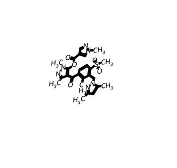 Cc1cc(C)n(Cc2c(S(C)(=O)=O)ccc(C(=O)c3c(C)nn(C)c3OC(=O)c3cnn(C)c3)c2C)n1